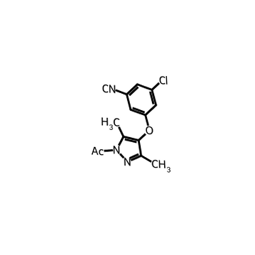 [C-]#[N+]c1cc(Cl)cc(Oc2c(C)nn(C(C)=O)c2C)c1